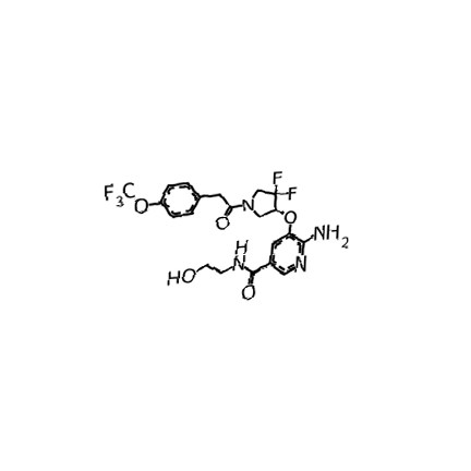 Nc1ncc(C(=O)NCCO)cc1O[C@H]1CN(C(=O)Cc2ccc(OC(F)(F)F)cc2)CC1(F)F